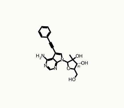 CC1(O)C(n2cc(C#Cc3ccccc3)c3c(N)ncnc32)OC(CO)[C@H]1O